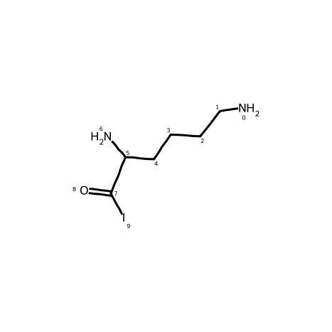 NCCCCC(N)C(=O)I